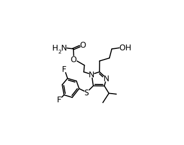 CC(C)c1nc(CCCO)n(CCOC(N)=O)c1Sc1cc(F)cc(F)c1